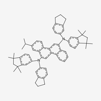 CC(C)c1ccc2c(c1)c(N(c1ccc3c(c1)CCC3)c1ccc3c(c1)C(C)(C)CC3(C)C)cc1c3ccccc3c(N(c3ccc4c(c3)CCC4)c3ccc4c(c3)C(C)(C)CC4(C)C)cc21